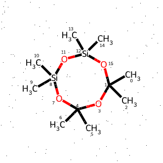 CC1(C)OC(C)(C)O[Si](C)(C)O[Si](C)(C)O1